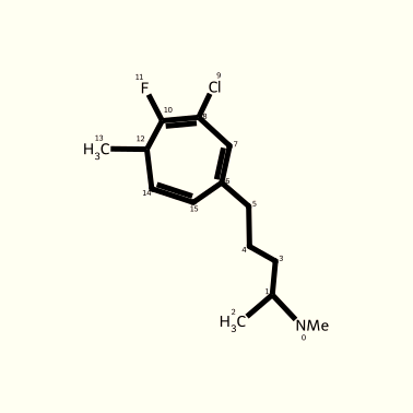 CNC(C)CCCC1=CC(Cl)=C(F)C(C)C=C1